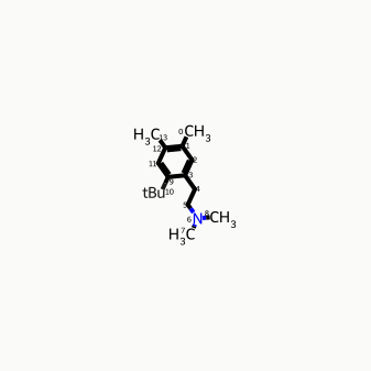 Cc1cc(CCN(C)C)c(C(C)(C)C)cc1C